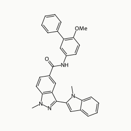 COc1ccc(NC(=O)c2ccc3c(c2)c(-c2cc4ccccc4n2C)nn3C)cc1-c1ccccc1